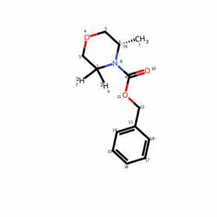 [2H]C1([2H])COC[C@H](C)N1C(=O)OCc1ccccc1